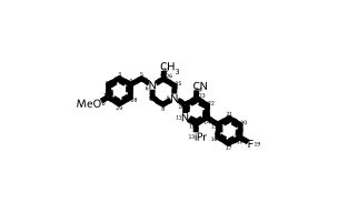 COc1ccc(CN2CCN(c3nc(C(C)C)c(-c4ccc(F)cc4)cc3C#N)CC2C)cc1